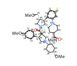 CNC(=O)C1CCN(c2cc(F)ccc2[C@H]2CN(C(=O)[C@]3(F)CN([C@H]4CC[C@H](OC)CC4)C[C@H]3c3ccc(OC)cc3)C[C@@H]2COC)CC1